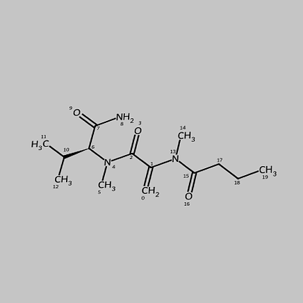 C=C(C(=O)N(C)[C@H](C(N)=O)C(C)C)N(C)C(=O)CCC